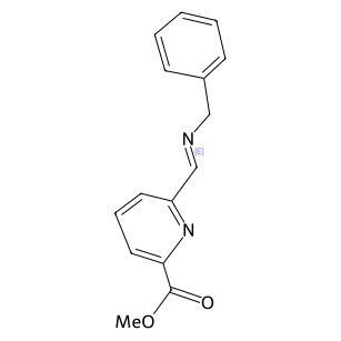 COC(=O)c1cccc(/C=N/Cc2ccccc2)n1